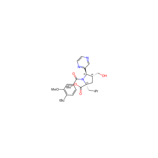 COc1cc(C(=O)N2[C@@H](c3cnccn3)[C@H](CO)C[C@@]2(CC(C)C)C(=O)OC(C)(C)C)ccc1C(C)(C)C